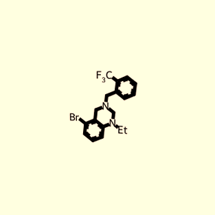 CCN1CN(Cc2ccccc2C(F)(F)F)Cc2c(Br)cccc21